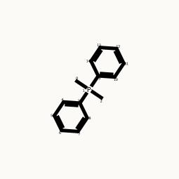 C[P](C)(c1ccccc1)c1ccccc1